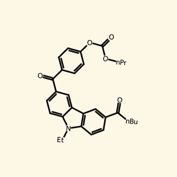 CCCCC(=O)c1ccc2c(c1)c1cc(C(=O)c3ccc(OC(=O)OCCC)cc3)ccc1n2CC